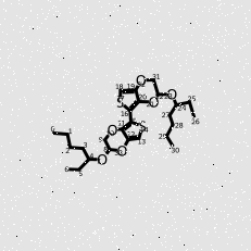 CCCCC(CC)OC1COc2c(csc2-c2scc3c2OC(OC(CC)CCCC)CO3)O1